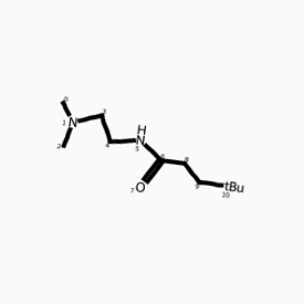 CN(C)CCNC(=O)CCC(C)(C)C